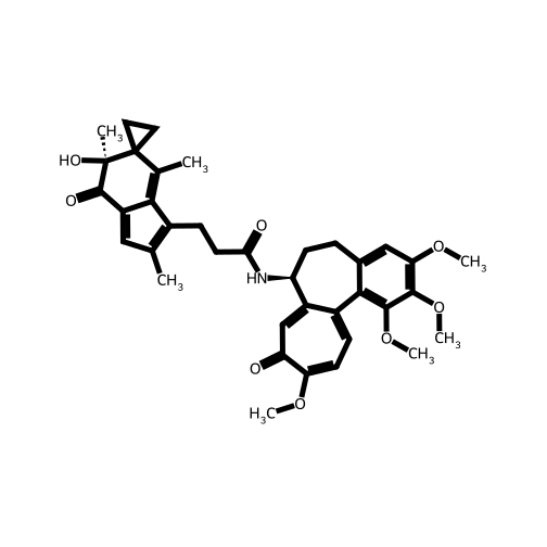 COc1cc2c(c(OC)c1OC)-c1ccc(OC)c(=O)cc1[C@@H](NC(=O)CCC1=C(C)C=C3C(=O)[C@@](C)(O)C4(CC4)C(C)=C31)CC2